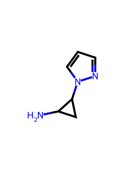 NC1CC1n1cccn1